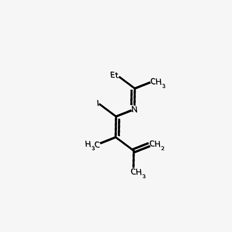 C=C(C)/C(C)=C(I)\N=C(\C)CC